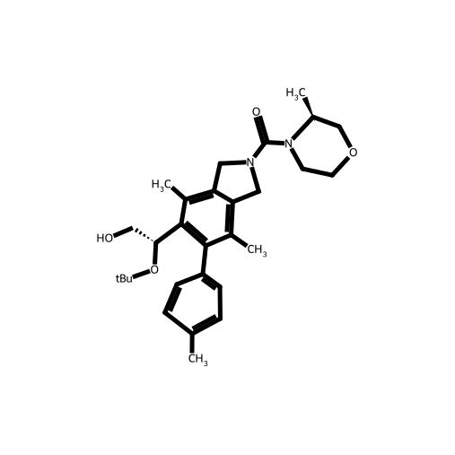 Cc1ccc(-c2c(C)c3c(c(C)c2[C@@H](CO)OC(C)(C)C)CN(C(=O)N2CCOC[C@@H]2C)C3)cc1